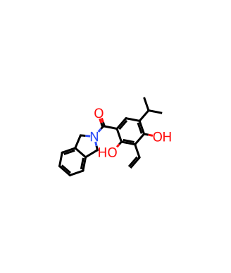 C=Cc1c(O)c(C(=O)N2Cc3ccccc3C2)cc(C(C)C)c1O